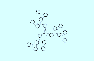 c1ccc(-n2c3ccccc3c3cc(N(c4cccc(-c5nc(-c6cccc(N(c7ccc8c(c7)c7ccccc7n8-c7ccccc7)c7cccc8c7oc7ccccc78)c6)nc(-c6cccc(N(c7ccc8c(c7)c7ccccc7n8-c7ccccc7)c7cccc8c7oc7ccccc78)c6)n5)c4)c4cccc5c4oc4ccccc45)ccc32)cc1